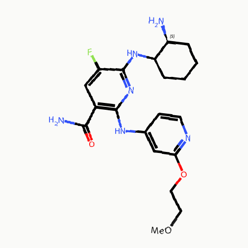 COCCOc1cc(Nc2nc(NC3CCCC[C@@H]3N)c(F)cc2C(N)=O)ccn1